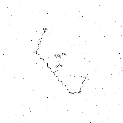 CCCCC/C=C\C/C=C\CCCCCCCCC(CCCCCCCC/C=C\CCCCCCCC)COC(=O)CCN(C)C